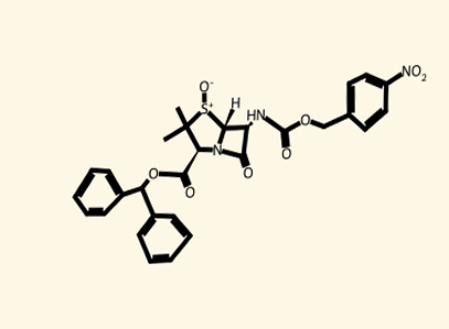 CC1(C)[C@H](C(=O)OC(c2ccccc2)c2ccccc2)N2C(=O)[C@@H](NC(=O)OCc3ccc([N+](=O)[O-])cc3)[C@H]2[S+]1[O-]